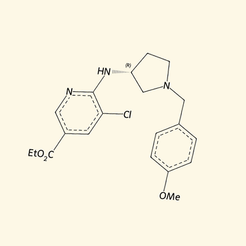 CCOC(=O)c1cnc(N[C@@H]2CCN(Cc3ccc(OC)cc3)C2)c(Cl)c1